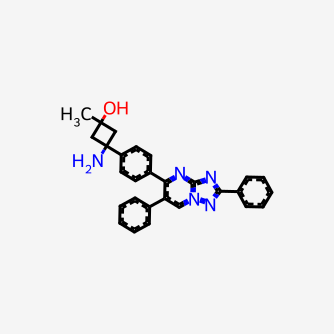 CC1(O)CC(N)(c2ccc(-c3nc4nc(-c5ccccc5)nn4cc3-c3ccccc3)cc2)C1